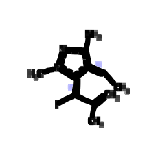 C=C(C)/C(I)=c1\c(=C/C)c(N)nn1C